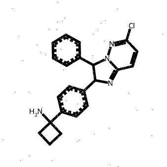 NC1(c2ccc(C3N=C4C=CC(Cl)=NN4C3c3ccccc3)cc2)CCC1